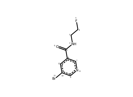 O=C(NCCF)c1cncc(Br)c1